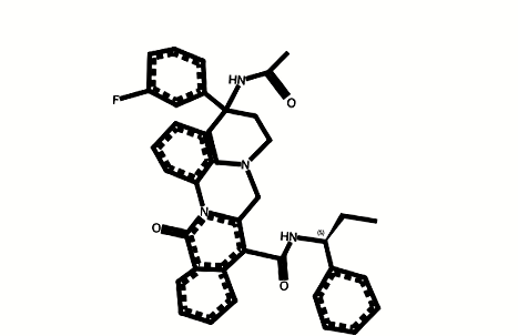 CC[C@H](NC(=O)c1c(CN2CCC(NC(C)=O)(c3cccc(F)c3)CC2)n(-c2ccccc2)c(=O)c2ccccc12)c1ccccc1